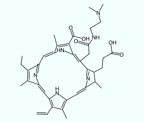 C=Cc1c(C)c2cc3nc(c(CC(=O)NCCN(C)C)c4[nH]c(cc5nc(cc1[nH]2)C(C)=C5CC)c(C)c4C(=O)O)C(CCC(=O)O)C3C